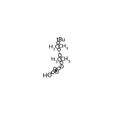 CC(C)(C)c1ccc(C(C)(C)c2ccc(-c3ccc(C(C)(C)c4ccc(Oc5ccc(S(=O)(=O)c6ccc(O)cc6)cc5)cc4)cc3)cc2)cc1